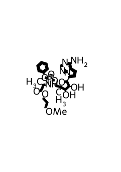 COCCCOC(=O)[C@H](C)N[P@@](=O)(OC[C@@]1(C)O[C@@H](c2ccc3c(N)ncnn23)[C@H](O)[C@@H]1O)Oc1ccccc1